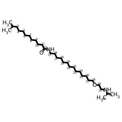 CC(C)CCCCCCCCCC(=O)NCCCCCCCCCCCCCCOCCNC(C)C